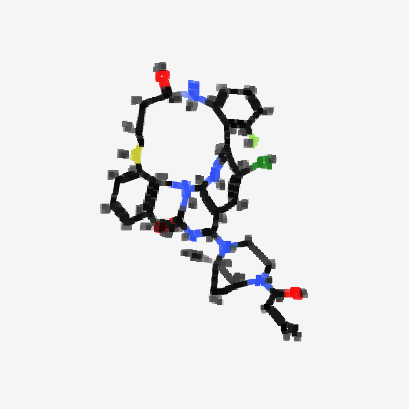 C=CC(=O)N1CCN(c2nc(=O)n3c4nc(c(Cl)cc24)-c2c(F)cccc2NC(=O)CCSc2cccc(C(C)C)c2-3)[C@@H]2CC21